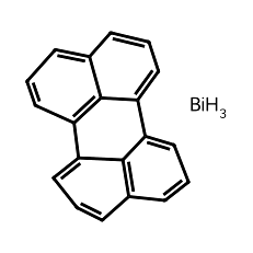 [BiH3].c1cc2cccc3c4cccc5cccc(c(c1)c23)c54